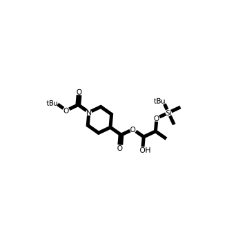 CC(O[Si](C)(C)C(C)(C)C)C(O)OC(=O)C1CCN(C(=O)OC(C)(C)C)CC1